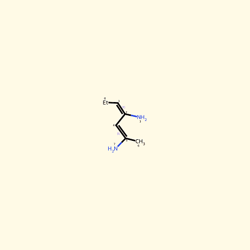 CC/C=C(N)\C=C(/C)N